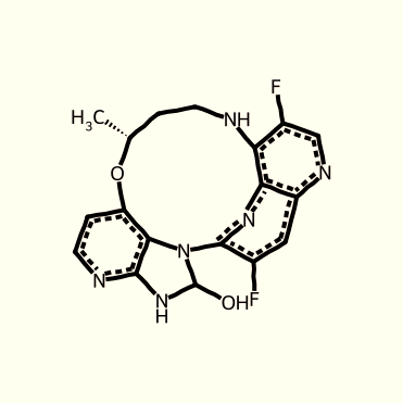 C[C@@H]1CCNc2c(F)cnc3cc(F)c(nc23)N2c3c(ccnc3NC2O)O1